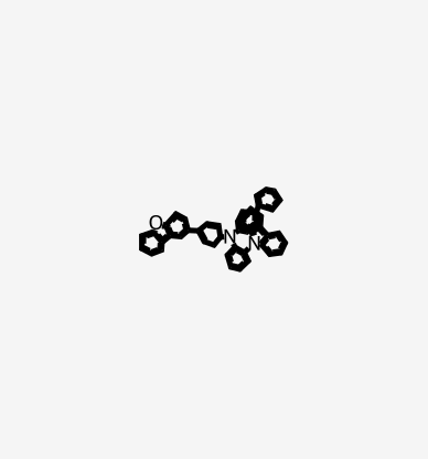 C1=CC(N(c2ccc(-c3ccccc3)cc2)c2ccccc2-n2c3ccccc3c3ccccc32)CC=C1c1ccc2oc3ccccc3c2c1